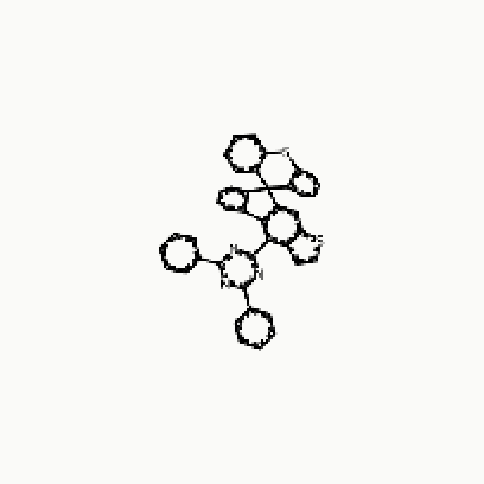 c1ccc(-c2nc(-c3ccccc3)nc(-c3c4c(cc5sccc35)C3(c5ccccc5Sc5ccccc53)c3ccccc3-4)n2)cc1